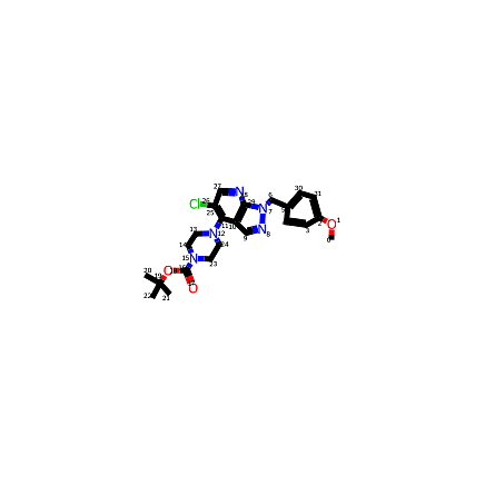 COc1ccc(Cn2ncc3c(N4CCN(C(=O)OC(C)(C)C)CC4)c(Cl)cnc32)cc1